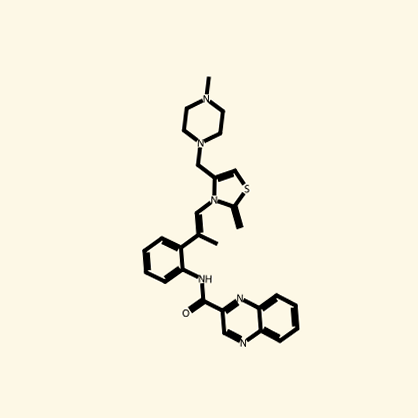 C=C1SC=C(CN2CCN(C)CC2)N1/C=C(\C)c1ccccc1NC(=O)c1cnc2ccccc2n1